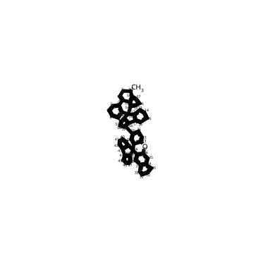 CC1CC=C2c3ccccc3C3(c4ccccc4-c4c(-c5ccc6c(c5)C5(c7cc8ccccc8cc7O6)c6ccccc6-c6ccccc65)cccc43)c3cccc1c32